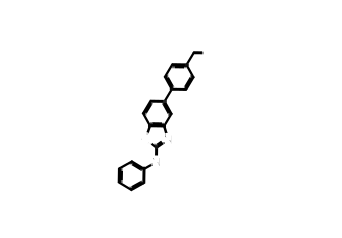 OCc1ccc(-c2ccc3oc(Nc4ccccc4)nc3c2)cc1